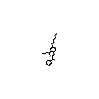 CCCCCOc1ccc(C=CC(=O)c2ccccc2)c(C(=O)CCC)c1